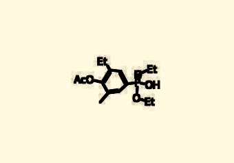 CCO[PH](O)(OCC)c1cc(C)c(OC(C)=O)c(CC)c1